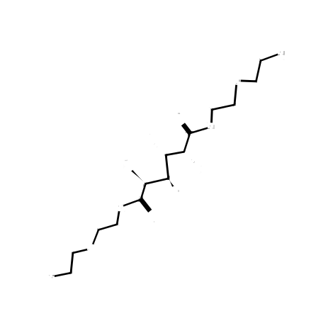 NCCOCCNC(=O)[C@@H](O)[C@H](O)[C@H](O)[C@@H](O)C(=O)NCCOCCN